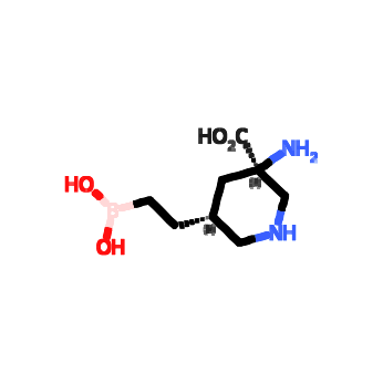 N[C@@]1(C(=O)O)CNC[C@H](CCB(O)O)C1